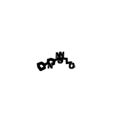 COCCCc1nnc(-c2ccc(-c3ccccc3)nc2)o1